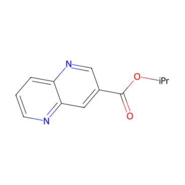 CC(C)OC(=O)c1cnc2cccnc2c1